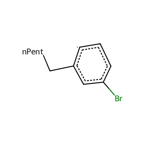 CCCCCCc1[c]ccc(Br)c1